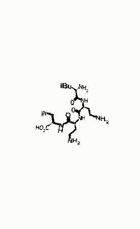 CC[C@H](C)[C@H](N)C(=O)N[C@@H](CCN)C(=O)N[C@@H](CCN)C(=O)N[C@@H](CC(C)C)C(=O)O